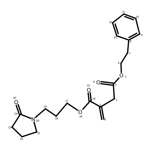 C=C(CC(=O)OCCc1ccccc1)C(=O)OCCCN1CCCC1=O